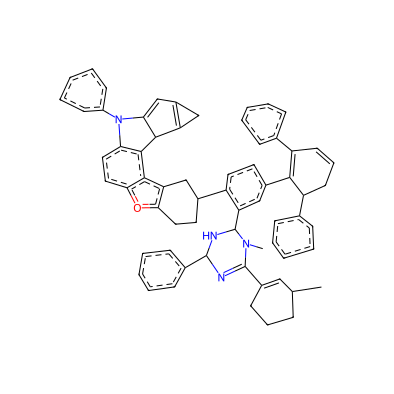 CC1C=C(C2=NC(c3ccccc3)NC(c3cc(C4=C(c5ccccc5)C=CCC4c4ccccc4)ccc3C3CCc4oc5ccc6c(c5c4C3)C3C(=CC4=C3C4)N6c3ccccc3)N2C)CCC1